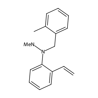 C=Cc1ccccc1N(Cc1ccccc1C)NC